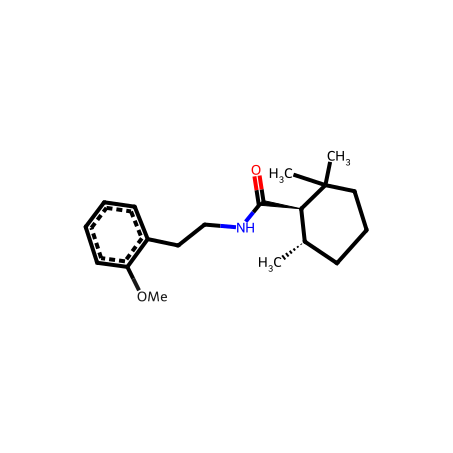 COc1ccccc1CCNC(=O)[C@@H]1[C@@H](C)CCCC1(C)C